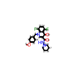 COc1ccc(Cn2cc(C(=O)NN3CCCCC3)c(=O)c3c(F)ccc(F)c32)cc1